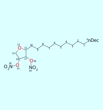 CCCCCCCCCCCCCCCCCCCCC1OCC(O[N+](=O)[O-])C1O[N+](=O)[O-]